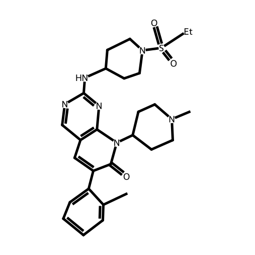 CCS(=O)(=O)N1CCC(Nc2ncc3cc(-c4ccccc4C)c(=O)n(C4CCN(C)CC4)c3n2)CC1